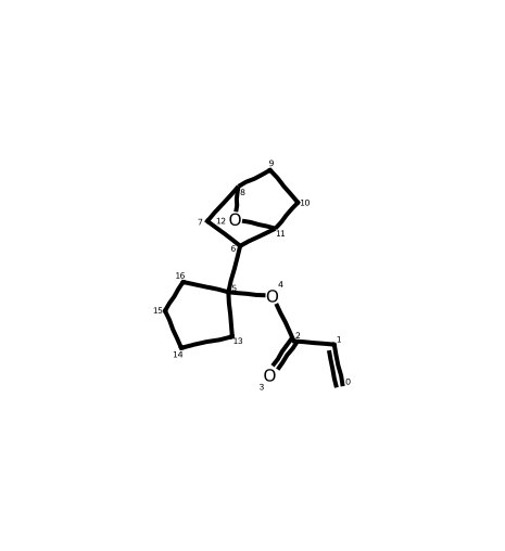 C=CC(=O)OC1(C2CC3CCC2O3)CCCC1